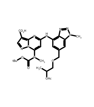 CC(=O)OC(C)COCc1cc(Nc2cc(N(C)C(=O)OC(C)(C)C)n3ncc(C(=O)O)c3n2)c2nnn(C)c2c1